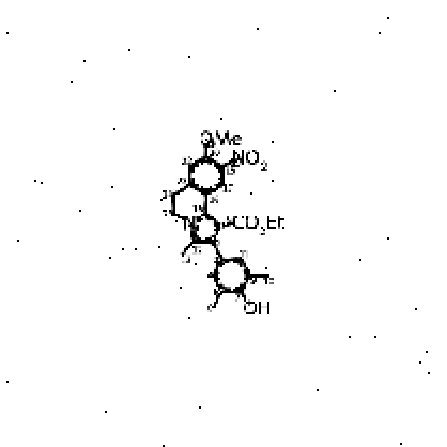 CCOC(=O)c1c(-c2cc(C)c(O)c(C)c2)c(C)n2c1-c1cc([N+](=O)[O-])c(OC)cc1CC2